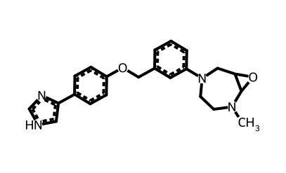 CN1CCN(c2cccc(COc3ccc(-c4c[nH]cn4)cc3)c2)CC2OC21